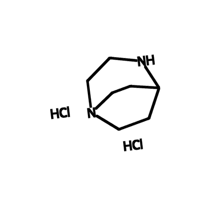 C1CN2CCC(CC2)N1.Cl.Cl